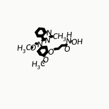 COCN(c1ccc(OC)c(OCCCC(=O)NO)c1)c1nc(C)nc2ccccc12